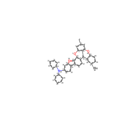 Cc1cc2c3c(c1)Oc1c(ccc4c1oc1cc(N(c5ccccc5)c5ccccc5)ccc14)B3c1cc(C(C)(C)C)ccc1O2